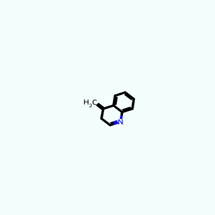 C=C1CC=Nc2ccccc21